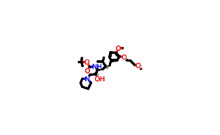 COCCCOc1cc(C[C@H](C[C@H](NC(=O)OC(C)(C)C)[C@@H](O)CN2CCCCC2)C(C)C)ccc1OC